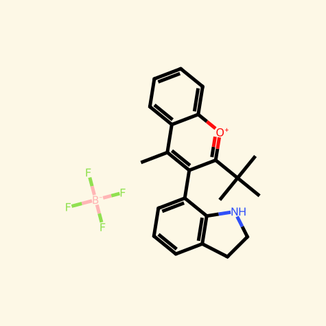 Cc1c(-c2cccc3c2NCC3)c(C(C)(C)C)[o+]c2ccccc12.F[B-](F)(F)F